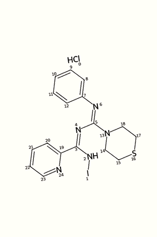 Cl.INC(=NC(=Nc1ccccc1)N1CCSCC1)c1ccccn1